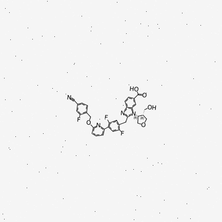 N#Cc1ccc(COc2cccc(-c3cc(F)c(Cc4nc5ccc(C(=O)O)cc5n4[C@H]4COC[C@H]4CO)cc3F)n2)c(F)c1